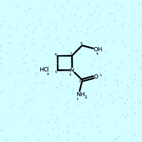 Cl.NC(=O)N1CCC1CO